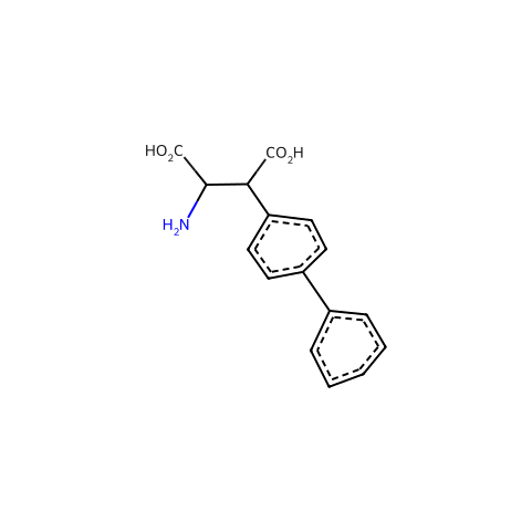 NC(C(=O)O)C(C(=O)O)c1ccc(-c2ccccc2)cc1